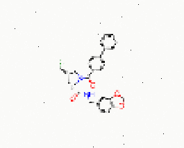 O=C(NCc1ccc2c(c1)OCO2)[C@@H]1CC(=CCl)CN1C(=O)c1ccc(-c2ccccc2)cc1